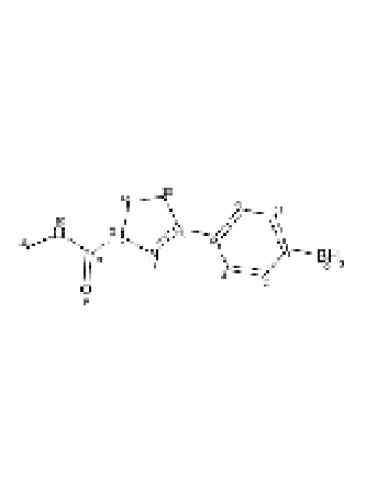 Bc1ccc(C2=N[C@H](C(=O)OC)CC2)cc1